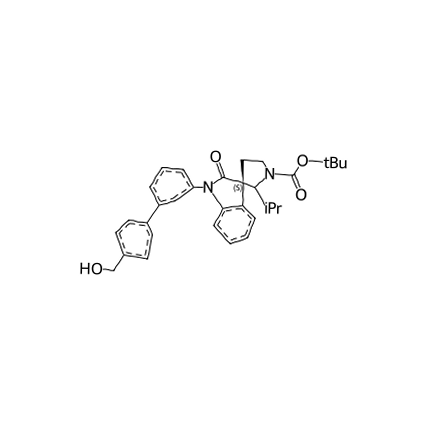 CC(C)C1N(C(=O)OC(C)(C)C)CC[C@@]12C(=O)N(c1cccc(-c3ccc(CO)cc3)c1)c1ccccc12